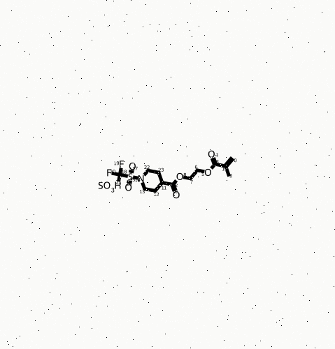 C=C(C)C(=O)OCCOC(=O)C1CCN(S(=O)(=O)C(F)(F)S(=O)(=O)O)CC1